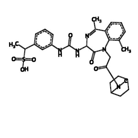 CC1=NC(NC(=O)Nc2cccc(C(C)S(=O)(=O)O)c2)C(=O)N(CC(=O)N2CC3CCC(CC3)C2)c2c(C)cccc21